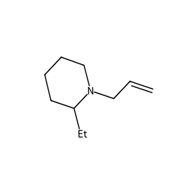 [CH2]CC1CCCCN1CC=C